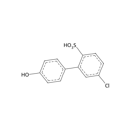 O=S(=O)(O)c1ccc(Cl)cc1-c1ccc(O)cc1